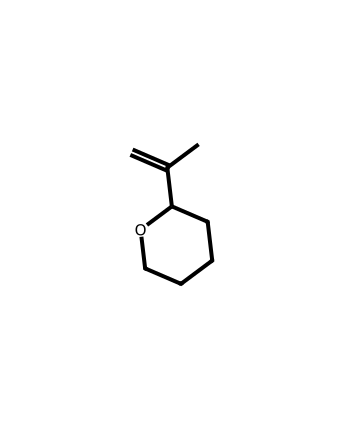 C=C(C)C1CCCCO1